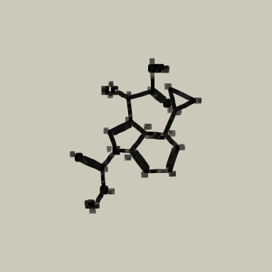 COC(=O)C(C)c1cn(C(=O)OC(C)(C)C)c2cccc(C3CC3)c12